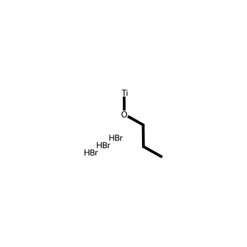 Br.Br.Br.CCC[O][Ti]